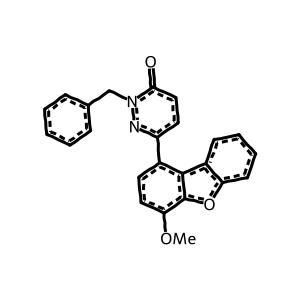 COc1ccc(-c2ccc(=O)n(Cc3ccccc3)n2)c2c1oc1ccccc12